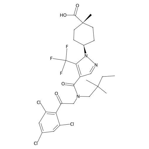 CCC(C)(C)CN(CC(=O)c1c(Cl)cc(Cl)cc1Cl)C(=O)c1cnn([C@H]2CC[C@](C)(C(=O)O)CC2)c1C(F)(F)F